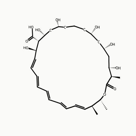 C[C@H]1/C=C/C=C/C=C/C=C/C=C/[C@@H](O)[C@H](C(=O)O)[C@H](O)C[C@H](O)CCC[C@H](O)C[C@H](O)C[C@H](O)[C@@H](C)C(=O)O[C@@H]1C